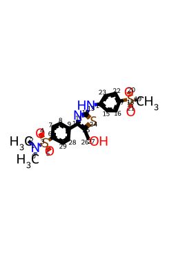 CN(C)S(=O)(=O)c1ccc(-c2nc(Nc3ccc(S(C)(=O)=O)cc3)sc2CO)cc1